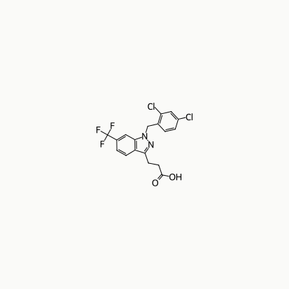 O=C(O)CCc1nn(Cc2ccc(Cl)cc2Cl)c2cc(C(F)(F)F)ccc12